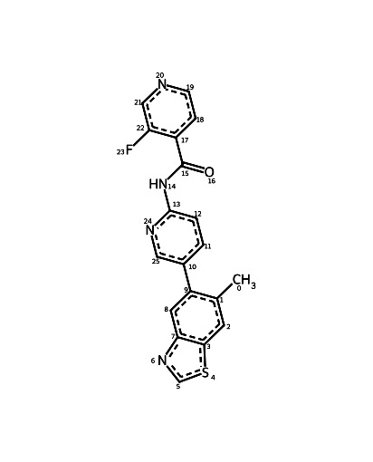 Cc1cc2scnc2cc1-c1ccc(NC(=O)c2ccncc2F)nc1